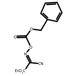 CCOC(=O)C(C#N)=NOC(=O)OCc1ccccc1